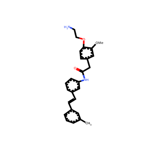 COc1cc(CC(=O)Nc2cccc(C=Cc3cccc(C)c3)c2)ccc1OCCN